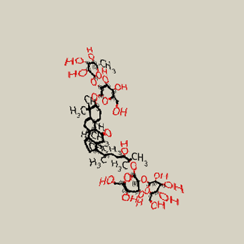 C[C@H](CC[C@@H](O)C(C)(C)O[C@@H]1O[C@H](CO)[C@@H](O)[C@H](O)[C@H]1O[C@@H]1O[C@H](CO)[C@@H](O)[C@H](O)[C@H]1O)[C@H]1CC[C@@]2(C)[C@@H]3CC=C4[C@@H](CC[C@H](O[C@@H]5O[C@H](CO)[C@@H](O)[C@H](O)[C@H]5O[C@@H]5O[C@@H](C)[C@H](O)[C@@H](O)[C@H]5O)C4(C)C)[C@]3(C)C(=O)C[C@]12C